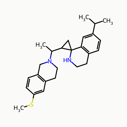 CSc1ccc2c(c1)CCN(C(C)C1CC13NCCc1ccc(C(C)C)cc13)C2